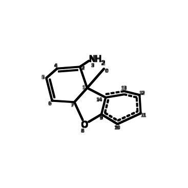 CC12C(N)=CC=CC1Oc1ccccc12